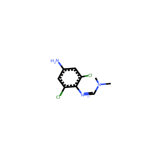 CN(C)/C=N\c1c(Cl)cc(N)cc1Cl